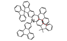 CC1(C)c2ccccc2-c2ccc(N(c3ccc4c5ccccc5c5ccccc5c4c3)c3cc4c(cc3-c3cc5ccccc5c5ccccc35)-c3ccccc3C43c4ccccc4-c4ccccc43)cc21